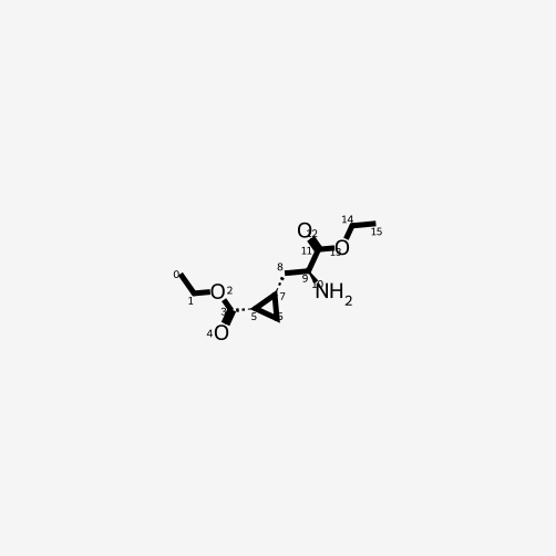 CCOC(=O)[C@H]1C[C@H]1C[C@H](N)C(=O)OCC